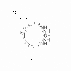 C1CCCCCNNNNNCCCC1.[Fe]